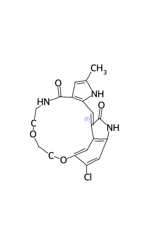 Cc1cc2c([nH]1)/C=C1\C(=O)Nc3cc(Cl)c(cc31)OCCOCCNC2=O